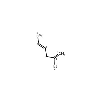 C=C(CC)CC=CCCC